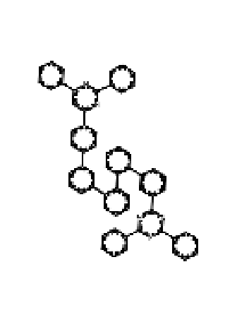 c1ccc(-c2cc(-c3ccc(-c4cccc(-c5ccccc5-c5ccccc5-c5cccc(-c6nc(-c7ccccc7)nc(-c7ccccc7)n6)c5)c4)cc3)nc(-c3ccccc3)n2)cc1